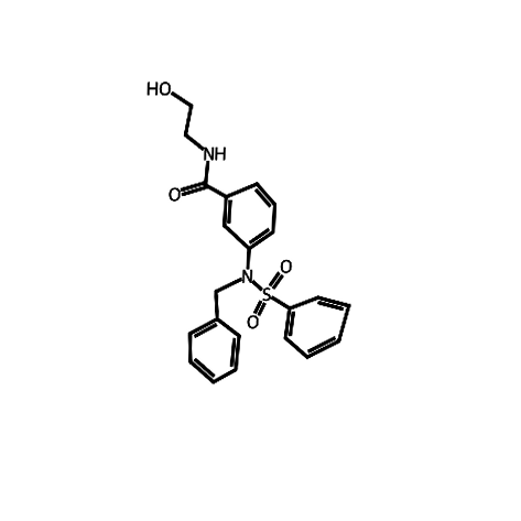 O=C(NCCO)c1cccc(N(Cc2ccccc2)S(=O)(=O)c2ccccc2)c1